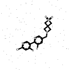 O=S1(=O)CC2(CN(Cc3cnc(-c4cnc(Cl)cc4F)c(F)c3)C2)C1